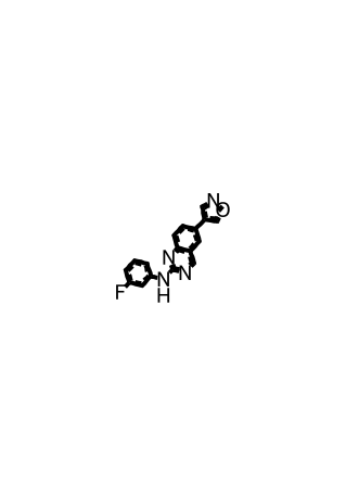 Fc1cccc(Nc2ncc3cc(-c4cnoc4)ccc3n2)c1